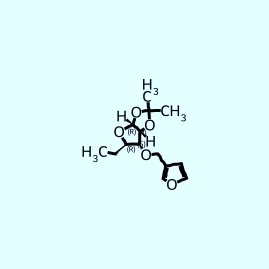 CC[C@H]1O[C@@H]2OC(C)(C)O[C@@H]2[C@H]1OCc1ccoc1